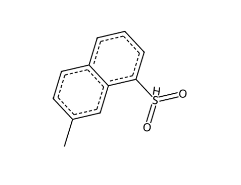 Cc1ccc2cccc([SH](=O)=O)c2c1